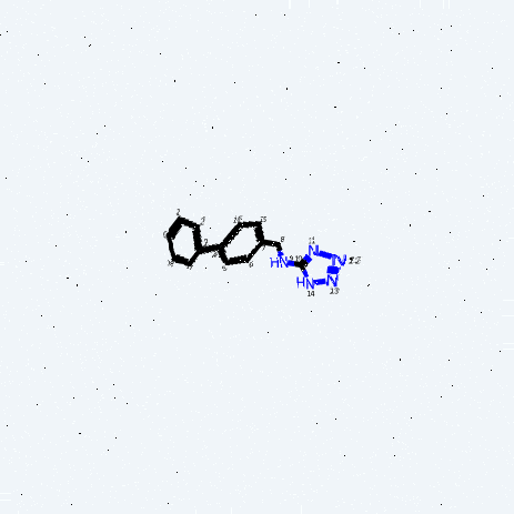 c1ccc(-c2ccc(CNc3nnn[nH]3)cc2)cc1